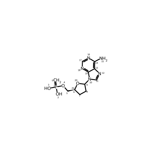 C=P(O)(O)OC[C@@H]1CCC(n2cnc3c(N)ncnc32)O1